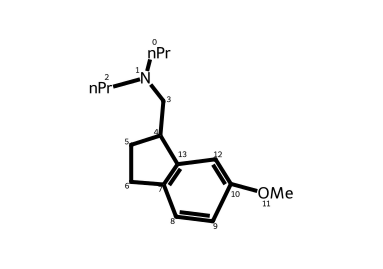 CCCN(CCC)CC1CCc2ccc(OC)cc21